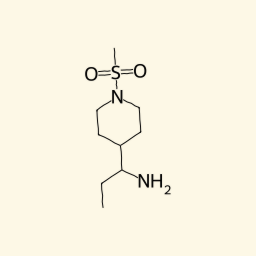 CCC(N)C1CCN(S(C)(=O)=O)CC1